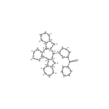 O=C(c1ccccc1)c1cccc(-n2c3nc4ccccc4n3c3ccccc3n3c4ccccc4nc23)c1